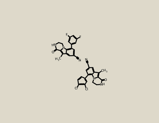 Cc1c2n(c3c(-c4cc(F)cc(F)c4)cc(C#N)cc13)CCNC2=O.Cc1c2n(c3c(-c4ccc(Cl)c(Cl)c4)cc(C#N)cc13)CCNC2=O